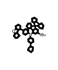 CC(C)(C)c1cc(N(c2ccc(-c3ccccc3)cc2)c2ccc(-c3cccc4oc5ccccc5c34)cc2)c2c(c1)C1(c3ccccc3-c3ccccc31)c1ccccc1-2